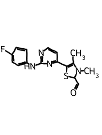 CC1=C(c2ccnc(Nc3ccc(F)cc3)n2)SC(C=O)N1C